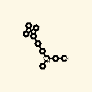 c1ccc(-c2nc(-c3ccc(-c4ccncc4)cc3)cc(-c3ccc(-c4ccc(-c5ccc6c(c5)-c5ccccc5C65c6ccccc6-c6ccccc65)cc4)cc3)n2)cc1